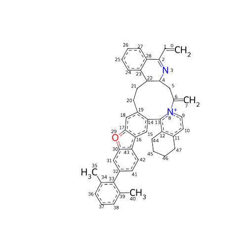 C=CC1=NC2CC(=C)[n+]3ccc4c(c3-c3cc5c(cc3CCC2c2ccccc21)oc1cc(-c2c(C)cccc2C)ccc15)CCCC4